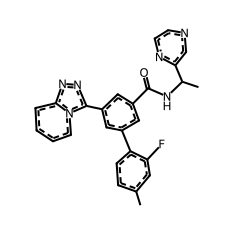 Cc1ccc(-c2cc(C(=O)NC(C)c3cnccn3)cc(-c3nnc4ccccn34)c2)c(F)c1